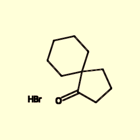 Br.O=C1CCCC12CCCCC2